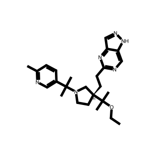 CCOC(C)(C)[C@]1(CCc2ncc3[nH]ncc3n2)CCN(C(C)(C)c2ccc(C)nc2)C1